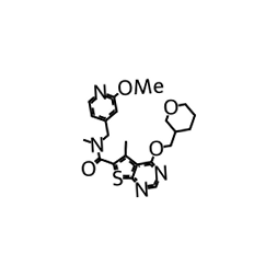 COc1cc(CN(C)C(=O)c2sc3ncnc(OCC4CCCOC4)c3c2C)ccn1